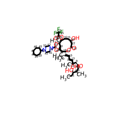 CC[C@H](O)[C@@H](C)[C@H]1O[C@@H]1C[C@@](C)(O)/C=C/C=C(\C)[C@H]1OC(=O)C[C@H](O)CC[C@@](C)(OC(=O)C(F)(F)F)[C@@H](OC(=O)N2CCN(C3CCCCCC3)CC2)/C=C/[C@@H]1C